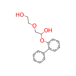 OCCOCC(O)Oc1ccccc1-c1ccccc1